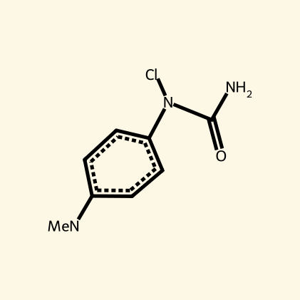 CNc1ccc(N(Cl)C(N)=O)cc1